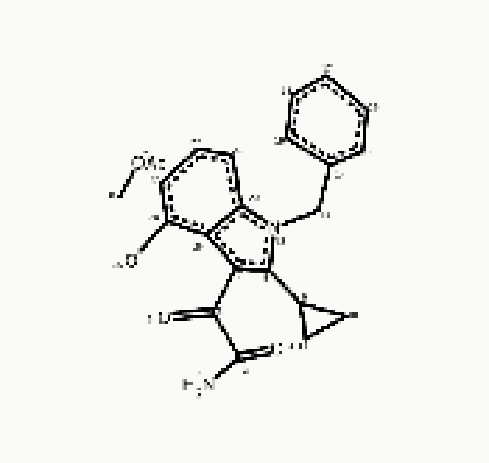 COC(C)=O.NC(=O)C(=O)c1c(C2CC2)n(Cc2ccccc2)c2cccc([O])c12